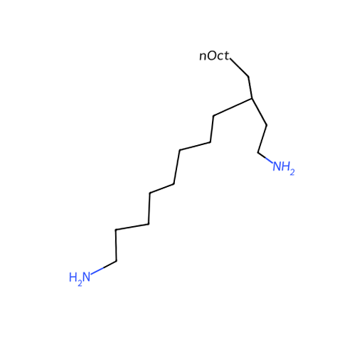 CCCCCCCCCC(CCN)CCCCCCCCN